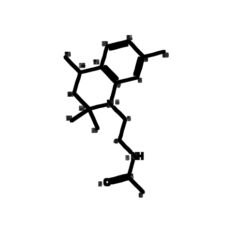 CC(=O)NCCN1c2cc(C)ccc2C(C)CC1(C)C